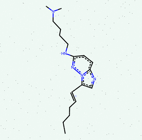 CCCC/C=C/c1cnc2ccc(NCCCCN(C)C)nn12